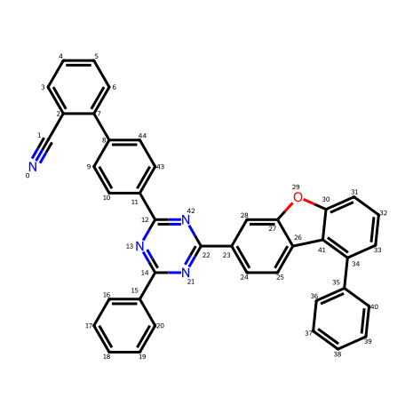 N#Cc1ccccc1-c1ccc(-c2nc(-c3ccccc3)nc(-c3ccc4c(c3)oc3cccc(-c5ccccc5)c34)n2)cc1